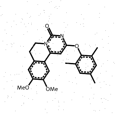 COc1cc2c(cc1OC)-c1cc(Oc3c(C)cc(C)cc3C)nc(=O)n1CC2